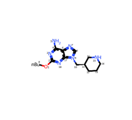 CCCCOc1nc(N)c2ncn(C[C@@H]3CCCNC3)c2n1